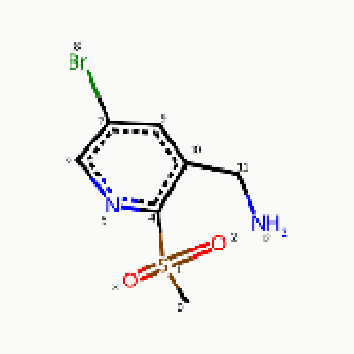 CS(=O)(=O)c1ncc(Br)cc1CN